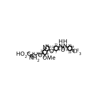 COc1cc2c(Oc3ccc(NC(=O)Nc4ccc(C(F)(F)F)cc4)cc3)ccnc2cc1OCCC[C@H](N)C(=O)O